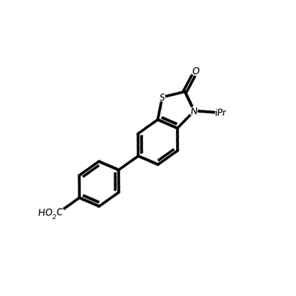 CC(C)n1c(=O)sc2cc(-c3ccc(C(=O)O)cc3)ccc21